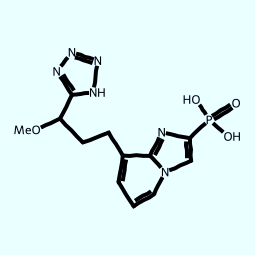 COC(CCc1cccn2cc(P(=O)(O)O)nc12)c1nnn[nH]1